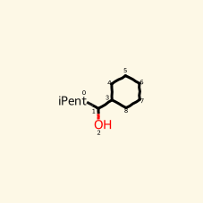 CCCC(C)C(O)C1CCCCC1